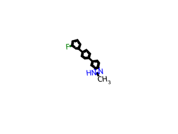 Cc1nc2ccc(-c3ccc(-c4cccc(F)c4)cc3)cc2[nH]1